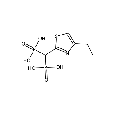 CCc1csc(C(P(=O)(O)O)P(=O)(O)O)n1